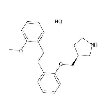 COc1ccccc1CCc1ccccc1OC[C@H]1CCNC1.Cl